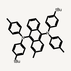 Cc1ccc(N(c2ccc(C(C)(C)C)cc2)c2c3ccccc3c(N(c3ccc(C)cc3)c3ccc(C(C)(C)C)cc3)c3cc(C)ccc23)cc1